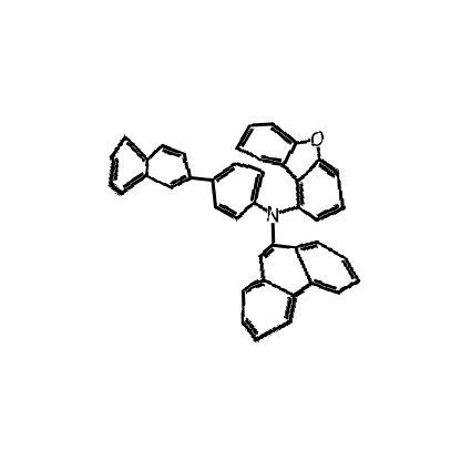 c1ccc2cc(-c3ccc(N(c4cc5ccccc5c5ccccc45)c4cccc5oc6ccccc6c45)cc3)ccc2c1